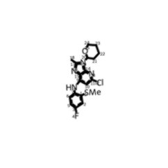 CSc1cc(F)ccc1Nc1cc(Cl)nc2c1nc(C)n2C1CCCCO1